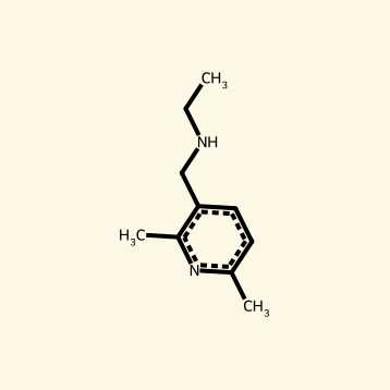 CCNCc1ccc(C)nc1C